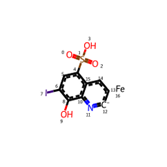 O=S(=O)(O)c1cc(I)c(O)c2n[c-]ccc12.[Fe]